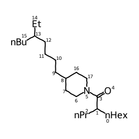 CCCCCCC(CCC)C(=O)N1CCC(CCCCC(CC)CCCC)CC1